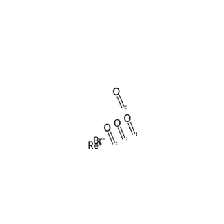 [Br-].[C]=O.[C]=O.[C]=O.[C]=O.[Re+]